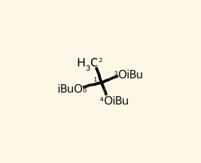 CC(C)COC(C)(OCC(C)C)OCC(C)C